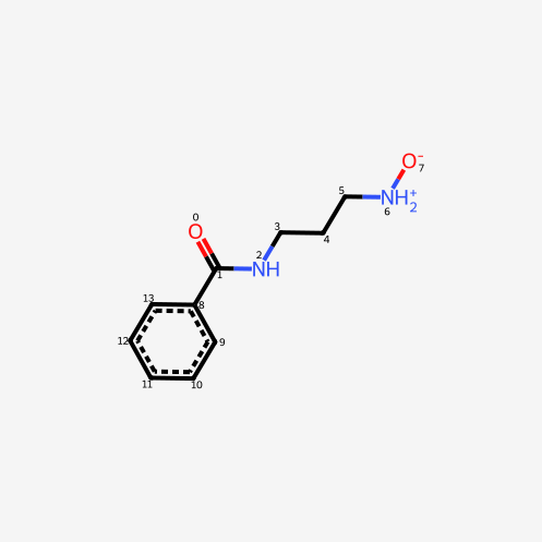 O=C(NCCC[NH2+][O-])c1ccccc1